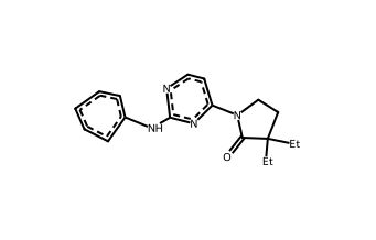 CCC1(CC)CCN(c2ccnc(Nc3ccccc3)n2)C1=O